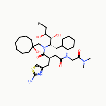 CC(C)C[C@H](O)[C@H](O)[C@H](CC1CCCCC1)N(CC1(O)CCCCCCC1)C(=O)[C@@H](CC(=O)NCC(=O)N(C)C)Cc1csc(N)n1